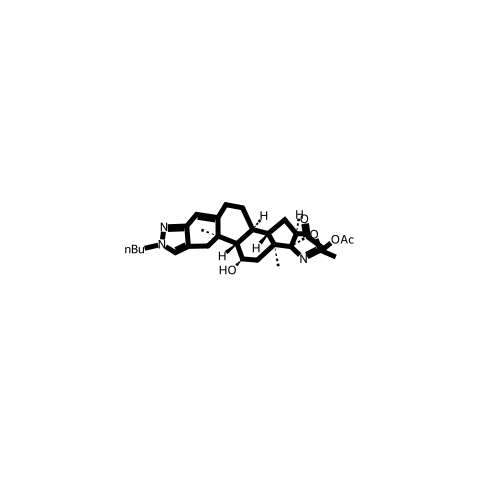 CCCCn1cc2c(n1)C=C1CC[C@@H]3[C@H]([C@@H](O)C[C@@]4(C)[C@H]3C[C@H]3OC(C)=N[C@]34C(=O)COC(C)=O)[C@@]1(C)C2